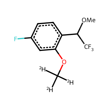 [2H]C([2H])([2H])Oc1cc(F)ccc1C(OC)C(F)(F)F